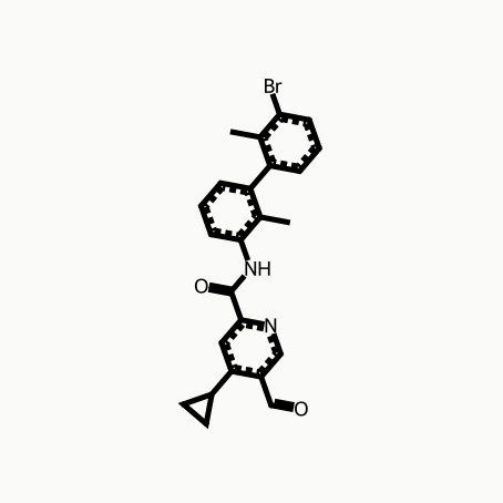 Cc1c(Br)cccc1-c1cccc(NC(=O)c2cc(C3CC3)c(C=O)cn2)c1C